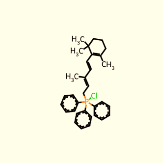 CC1=C(/C=C/C(C)=C/CP(Cl)(c2ccccc2)(c2ccccc2)c2ccccc2)C(C)(C)CCC1